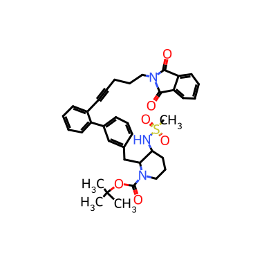 CC(C)(C)OC(=O)N1CCCC(NS(C)(=O)=O)C1Cc1cccc(-c2ccccc2C#CCCCN2C(=O)c3ccccc3C2=O)c1